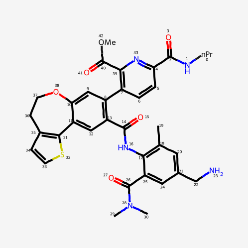 CCCNC(=O)c1ccc(-c2cc3c(cc2C(=O)Nc2c(C)cc(CN)cc2C(=O)N(C)C)-c2sccc2CCO3)c(C(=O)OC)n1